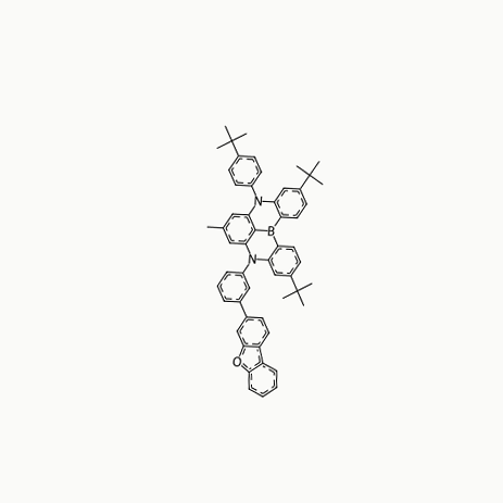 Cc1cc2c3c(c1)N(c1cccc(-c4ccc5c(c4)oc4ccccc45)c1)c1cc(C(C)(C)C)ccc1B3c1ccc(C(C)(C)C)cc1N2c1ccc(C(C)(C)C)cc1